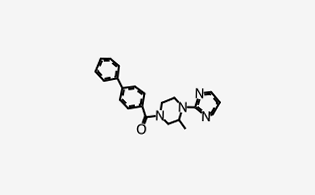 CC1CN(C(=O)c2ccc(-c3ccccc3)cc2)CCN1c1ncccn1